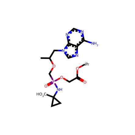 CC(C)OC(=O)COP(=O)(COC(C)Cn1cnc2c(N)ncnc21)NC1(C(=O)O)CC1